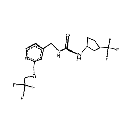 O=C(NCc1ccnc(OCC(F)(F)F)c1)NC1CCC(C(F)(F)F)C1